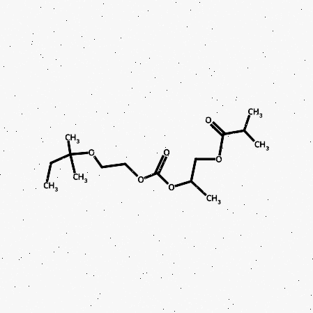 CCC(C)(C)OCCOC(=O)OC(C)COC(=O)C(C)C